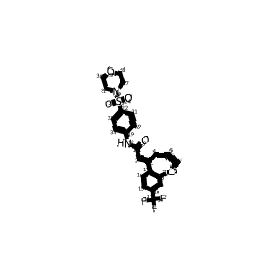 O=C(C=C1CCCOc2cc(C(F)(F)F)ccc21)Nc1ccc(S(=O)(=O)N2CCOCC2)cc1